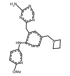 COc1ccc(Nc2ncc(CN3CCC3)cc2Cc2ncnc(N)n2)cn1